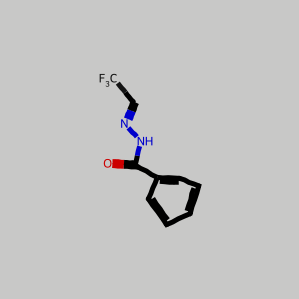 O=C(NN=CC(F)(F)F)c1ccccc1